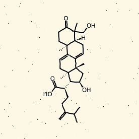 C=C(CC[C@@H](C(=O)O)[C@H]1[C@H](O)C[C@@]2(C)C3=CC[C@H]4C(C)(CO)C(=O)CC[C@]4(C)C3=CC[C@]12C)C(C)C